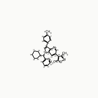 Cc1ccc(-c2cn([C@@H](c3ccccn3)C3CCCCC3)c3cc(-c4c(C)noc4C)cnc23)cc1